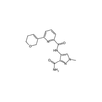 Cn1cc(NC(=O)c2cccc(C3=CCCOC3)n2)c(C(N)=O)n1